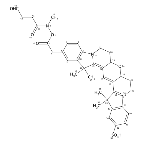 CN(OC(=O)Cc1ccc2c(c1)C(C)(C)C1=C3C=C4C5=[N+](CCC4OC3CCN12)c1ccc(S(=O)(=O)O)cc1C5(C)C)C(=O)CCC=O